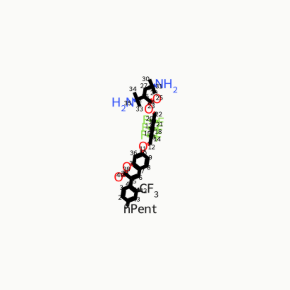 CCCCCc1ccc(-c2cc3ccc(OCC(F)(F)C(F)(F)C(F)(F)COC(=O)C(CC(C)(C)N)C(C)(C)N)cc3oc2=O)c(C(F)(F)F)c1